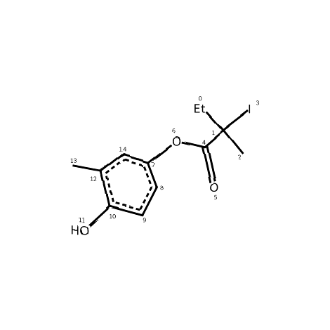 CCC(C)(I)C(=O)Oc1ccc(O)c(C)c1